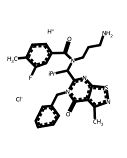 Cc1ccc(C(=O)N(CCCN)C(c2nc3snc(C)c3c(=O)n2Cc2ccccc2)C(C)C)cc1F.[Cl-].[H+]